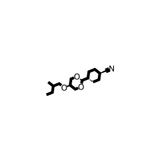 CCC(C)CO[C@H]1CO[C@H]([C@H]2CC[C@H](C#N)CC2)OC1